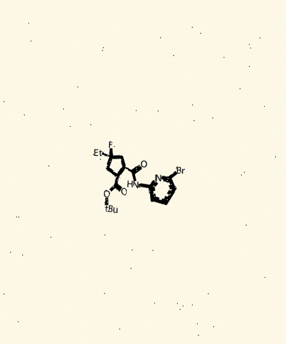 CC[C@]1(F)CC(C(=O)OC(C)(C)C)[C@H](C(=O)Nc2cccc(Br)n2)C1